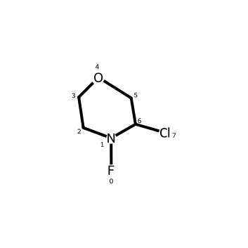 FN1CCOCC1Cl